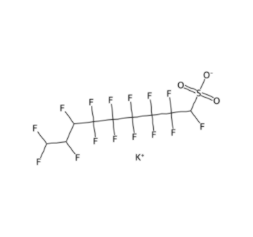 O=S(=O)([O-])C(F)C(F)(F)C(F)(F)C(F)(F)C(F)(F)C(F)(F)C(F)C(F)C(F)F.[K+]